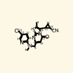 Cc1sc2nc(CN(C)c3ccc(Cl)cn3)cc(=O)n2c1C1CC1C#N